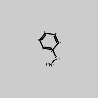 [C-]#[N+]Sc1ccccc1